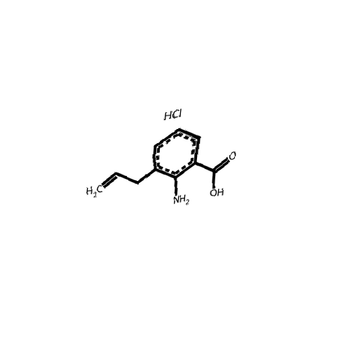 C=CCc1cccc(C(=O)O)c1N.Cl